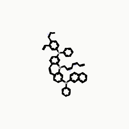 C=C/C=C\C=C/CN1c2cc(N(c3ccccc3)c3ccc(/C=C\C)c(C=C)c3)ccc2C=Cc2ccc(N(c3ccccc3)c3ccc4ccccc4c3)cc21